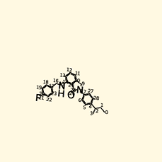 CCC(C)c1ccc(N2Cc3cccc(NCc4ccc(F)cc4)c3C2=O)cc1